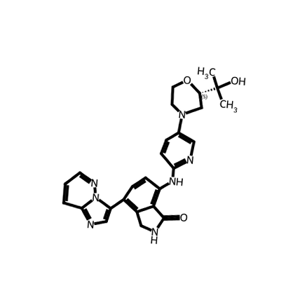 CC(C)(O)[C@@H]1CN(c2ccc(Nc3ccc(-c4cnc5cccnn45)c4c3C(=O)NC4)nc2)CCO1